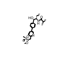 CON(Cc1ccc(-c2ccc([C@@H](O)[C@@H](CF)NC(=O)C(F)F)cc2)cn1)S(C)(=O)=O